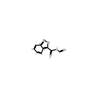 O=COC(=O)c1onc2ccccc12